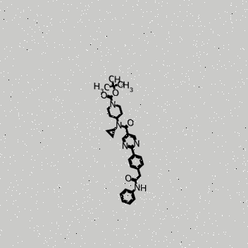 CC(C)(C)OC(=O)N1CCC(N(C(=O)c2cnc(-c3ccc(CC(=O)Nc4ccccc4)cc3)nc2)C2CC2)CC1